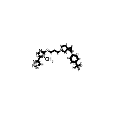 Cn1c(SCCCN2CCC3(C[C@H]3c3ccc(C(F)(F)F)cc3)C2)nnc1-c1csnn1